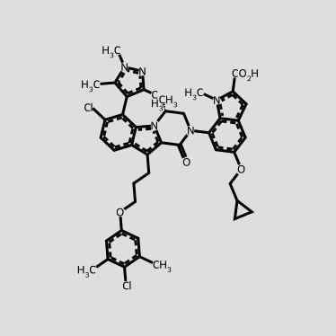 Cc1cc(OCCCc2c3n(c4c(-c5c(C)nn(C)c5C)c(Cl)ccc24)[C@H](C)CN(c2cc(OCC4CC4)cc4cc(C(=O)O)n(C)c24)C3=O)cc(C)c1Cl